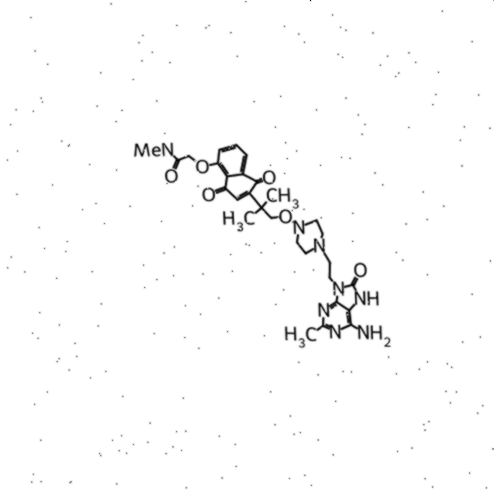 CNC(=O)COc1cccc2c1C(=O)C=C(C(C)(C)CON1CCN(CCn3c(=O)[nH]c4c(N)nc(C)nc43)CC1)C2=O